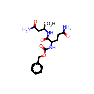 NC(=O)CCC(NC(=O)OCc1ccccc1)C(=O)NC(CC(N)=O)C(=O)O